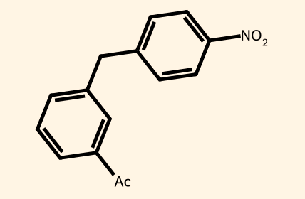 CC(=O)c1cccc(Cc2ccc([N+](=O)[O-])cc2)c1